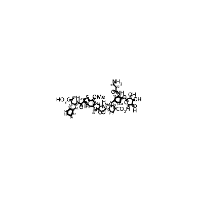 CC[C@H](C)[C@H](NC(=O)[C@H]1CCCC[N+]1(C)Cc1ccc(O[C@@H]2O[C@H](C(=O)O)[C@@H](O)[C@H](O)[C@H]2O)c(NC(=O)CCN)c1)C(=O)N(C)[C@H](C[C@@H](OC)c1nc(C(=O)N[C@@H](Cc2ccccc2)C[C@H](C)C(=O)O)cs1)C(C)C